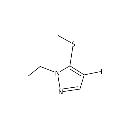 CCn1n[c]c(I)c1SC